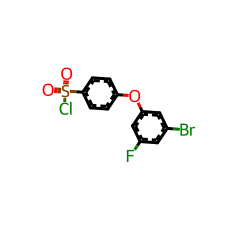 O=S(=O)(Cl)c1ccc(Oc2cc(F)cc(Br)c2)cc1